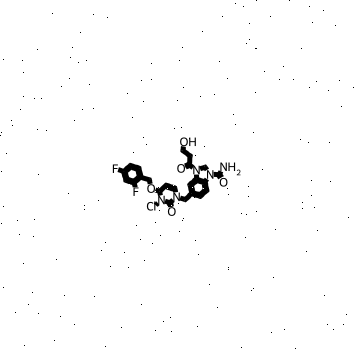 NC(=O)N1CN(C(=O)CCO)c2cc(CN3C=CC(OCc4ccc(F)cc4F)N(Cl)C3=O)ccc21